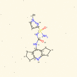 CC(C)n1ccc(S(N)(=O)=NC(=O)Nc2c3c(nc4c2CCC4)CCC3)n1